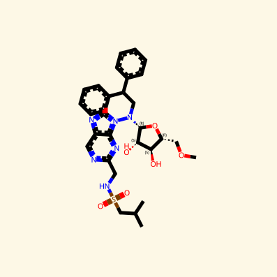 COC[C@H]1O[C@@H](N(CC(c2ccccc2)c2ccccc2)n2cnc3cnc(CNS(=O)(=O)CC(C)C)nc32)[C@@H](O)[C@@H]1O